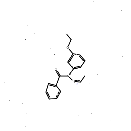 C/C=N\N(C(=O)c1ccccc1)c1cccc(OCF)c1